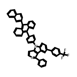 FC(F)(F)c1ccc(-c2ccc3c(c2)c2c(-c4ccccc4)nccc2n3-c2ccc(-c3c4ccccc4c(-c4ccc5ccccc5c4)c4ccccc34)cc2)cc1